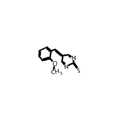 COc1ccccc1C=C1C=NC(=S)N=C1